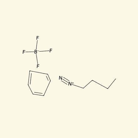 CCCC[N+]#N.F[B-](F)(F)F.c1ccccc1